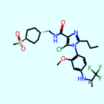 CCCc1nc(C(=O)NC[C@H]2CC[C@H](S(C)(=O)=O)CC2)c(Cl)n1-c1ccc(N[C@H](C)C(F)(F)F)cc1OC